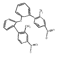 Cc1cc([N+](=O)[O-])ccc1-c1ccccc1Sc1ccccc1-c1ccc([N+](=O)[O-])cc1C